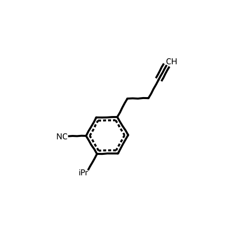 C#CCCc1ccc(C(C)C)c(C#N)c1